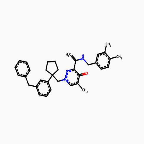 C=C(NCc1ccc(C)c(C)c1)c1nn(CC2(c3cccc(Cc4ccccc4)c3)CCCC2)cc(C)c1=O